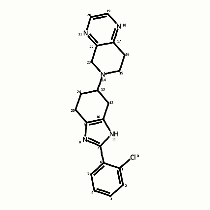 Clc1ccccc1-c1nc2c([nH]1)CC(N1CCc3nccnc3C1)CC2